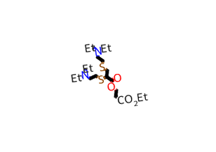 CCOC(=O)CCOC(=O)C(CSCCN(CC)CC)SCCN(CC)CC